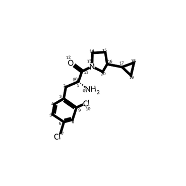 N[C@H](Cc1ccc(Cl)cc1Cl)C(=O)N1CCC(C2CC2)C1